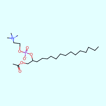 CCCCCCCCCCCCCCC(COC(C)=O)OP(=O)([O-])OCC[N+](C)(C)C